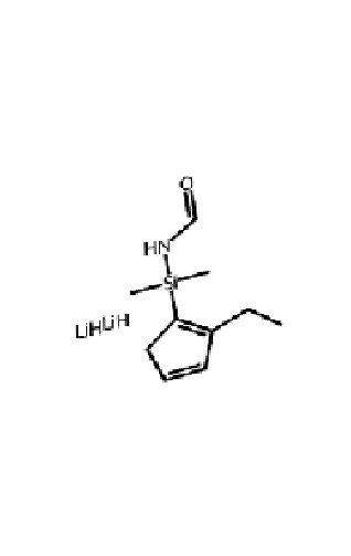 CCC1=C([Si](C)(C)NC=O)CC=C1.[LiH].[LiH]